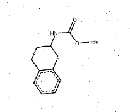 CCCCOC(=O)NC1CCc2ccccc2S1